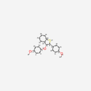 COc1ccc(Oc2c(-c3ccc(OC)cc3)sc3ccccc23)cc1